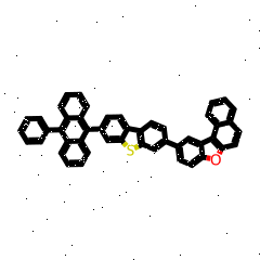 c1ccc(-c2c3ccccc3c(-c3ccc4c(c3)sc3cc(-c5ccc6oc7ccc8ccccc8c7c6c5)ccc34)c3ccccc23)cc1